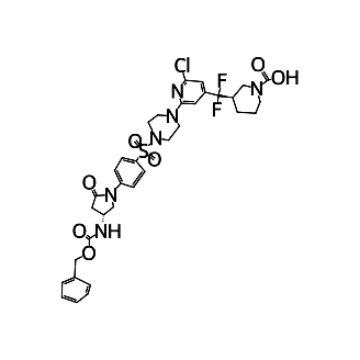 O=C(N[C@@H]1CC(=O)N(c2ccc(S(=O)(=O)N3CCN(c4cc(C(F)(F)[C@@H]5CCCN(C(=O)O)C5)cc(Cl)n4)CC3)cc2)C1)OCc1ccccc1